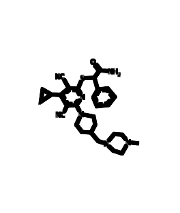 CN1CCN(CC2CCN(c3nc(SC(C(N)=O)c4ccccc4)c(C#N)c(C4CC4)c3C#N)CC2)CC1